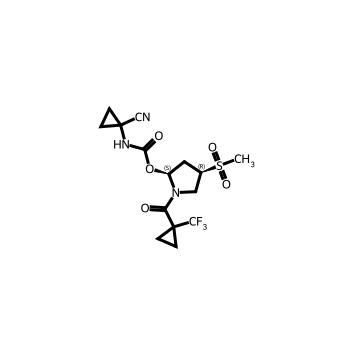 CS(=O)(=O)[C@@H]1C[C@H](OC(=O)NC2(C#N)CC2)N(C(=O)C2(C(F)(F)F)CC2)C1